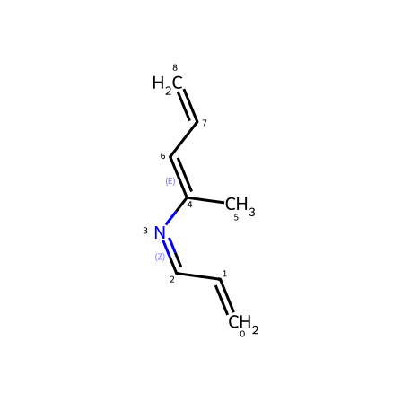 C=C/C=N\C(C)=C\C=C